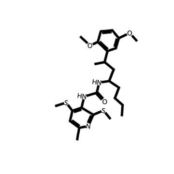 CCCCC(CC(C)c1cc(OC)ccc1OC)NC(=O)Nc1c(SC)cc(C)nc1SC